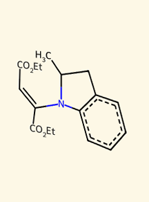 CCOC(=O)/C=C(/C(=O)OCC)N1c2ccccc2CC1C